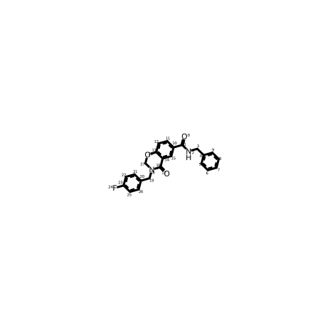 O=C(NCc1ccccc1)c1ccc2c(c1)C(=O)N(Cc1ccc(F)cc1)CO2